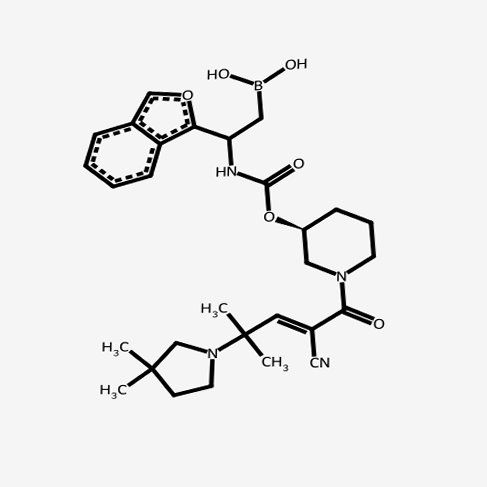 CC1(C)CCN(C(C)(C)C=C(C#N)C(=O)N2CCC[C@H](OC(=O)NC(CB(O)O)c3occ4ccccc34)C2)C1